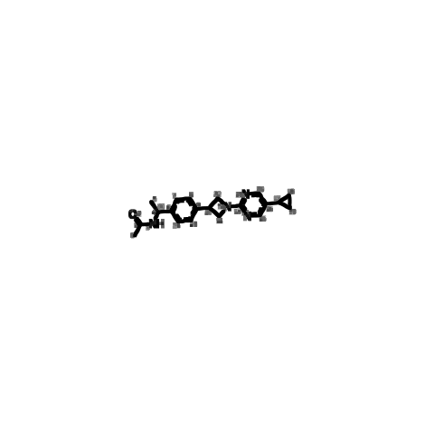 CC(=O)N[C@@H](C)c1ccc(C2CN(c3ncc(C4CC4)cn3)C2)cc1